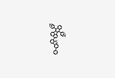 c1ccc(-c2ccc3sc4c(-c5ccc6c7c(cccc57)-c5c-6c(-c6ccncc6)c6ccccc6c5-c5ccncc5)cccc4c3c2)cc1